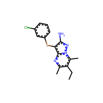 CCc1c(C)nc2c(Sc3cccc(Cl)c3)c(N)nn2c1C